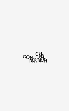 CCCc1c(CN2C=CNC2c2ncccc2F)ncn2nc(COC3CCCC3)nc12